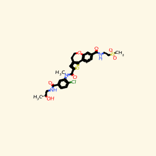 C[C@@H](O)CNC(=O)c1ccc(Cl)c(N(C)C(=O)c2cc3c(s2)-c2ccc(C(=O)NCCS(C)(=O)=O)cc2OCC3)c1